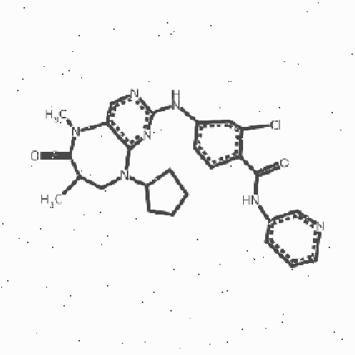 CC1CN(C2CCCC2)c2nc(Nc3ccc(C(=O)Nc4cccnc4)c(Cl)c3)ncc2N(C)C1=O